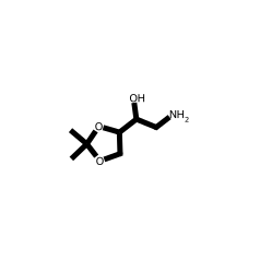 CC1(C)OCC(C(O)CN)O1